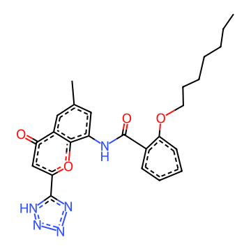 CCCCCCCOc1ccccc1C(=O)Nc1cc(C)cc2c(=O)cc(-c3nnn[nH]3)oc12